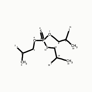 CC(I)COP(=S)(OCC(C)I)SCC(C)I